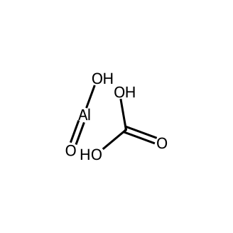 O=C(O)O.[O]=[Al][OH]